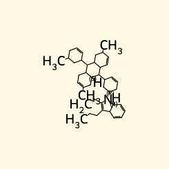 C=CC1=C(CCC)C2C=CC=C[C@H]2N1[C@@H]1CC=CC(C2C3C=CC(C)CC3C(C3C=CCC(C)C3)C3CC=C(C)C[C@@H]32)C1